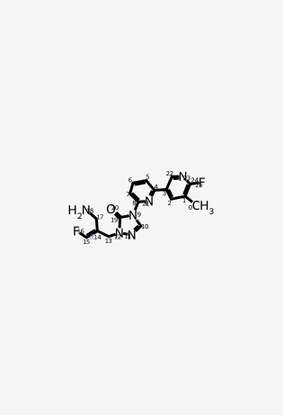 Cc1cc(-c2cccc(-n3cnn(C/C(=C/F)CN)c3=O)n2)cnc1F